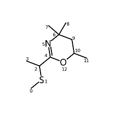 CSC(C)C1=NC(C)(C)CC(C)O1